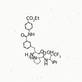 CCOC(=O)c1ccc(NC(=O)c2cccc(C[C@H](N)C(=O)[C@]3(C(=O)NC(C(C)C)C(O)C(F)(F)F)CCCN3)c2)cc1